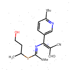 CN/C(=N\C(=C(\C#N)C=O)c1ccc(C(C)(C)C)nc1)SC(C)CCO